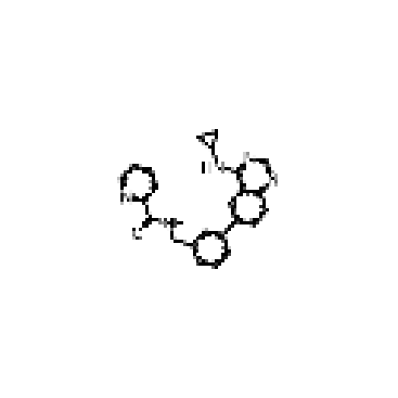 O=C(NCc1cccc(-c2ccc3ncnc(NC4CC4)c3c2)c1)c1ccccn1